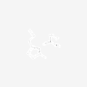 C=CC[n+]1ccn(C)c1.NC(N)=O.[Cl-]